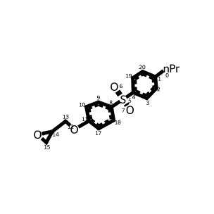 CCCc1ccc(S(=O)(=O)c2ccc(OCC3CO3)cc2)cc1